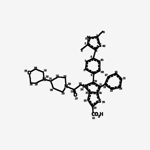 Cc1nc(C)c(-c2ccc(-c3c(-c4ccccc4)c4sc(C(=O)O)cc4n3CC(=O)N3CCC(N4CCOCC4)CC3)cc2)s1